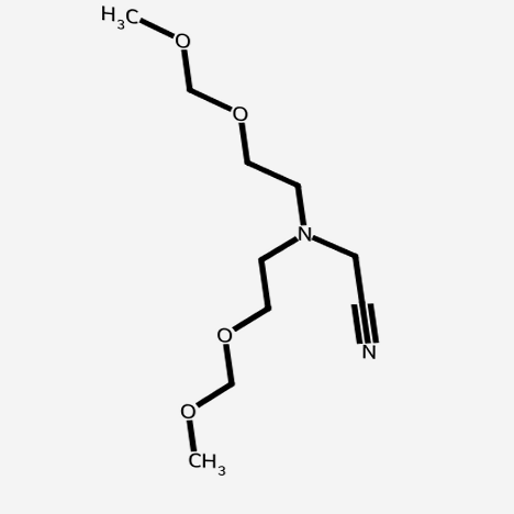 COCOCCN(CC#N)CCOCOC